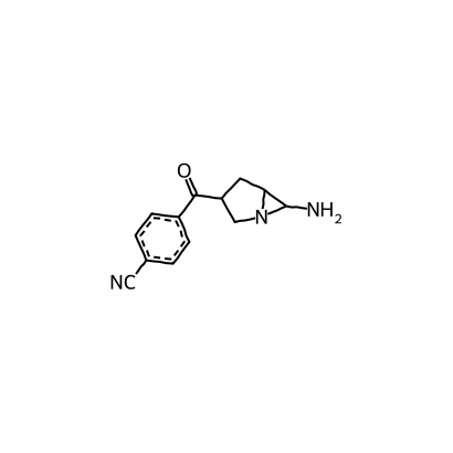 N#Cc1ccc(C(=O)C2CC3C(N)N3C2)cc1